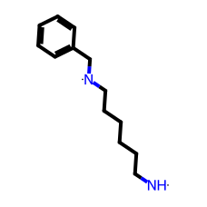 [NH]CCCCCC[N]Cc1ccccc1